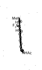 CNCCC(=O)NCCCN(CCCNC(=O)CCOCCOCCOCCOCCOCCN1CCC(NC(C)=O)CC1)CC(F)(F)F